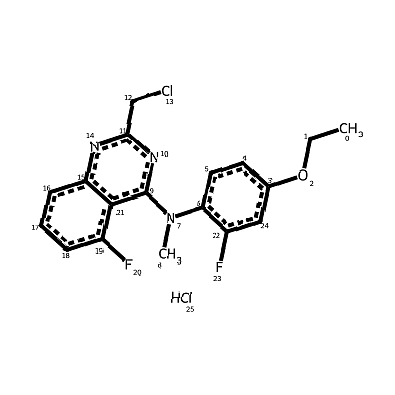 CCOc1ccc(N(C)c2nc(CCl)nc3cccc(F)c23)c(F)c1.Cl